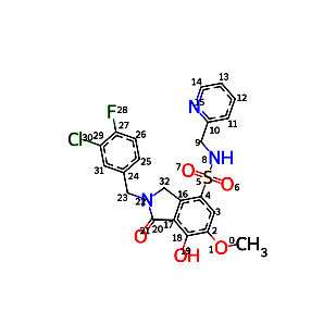 COc1cc(S(=O)(=O)NCc2ccccn2)c2c(c1O)C(=O)N(Cc1ccc(F)c(Cl)c1)C2